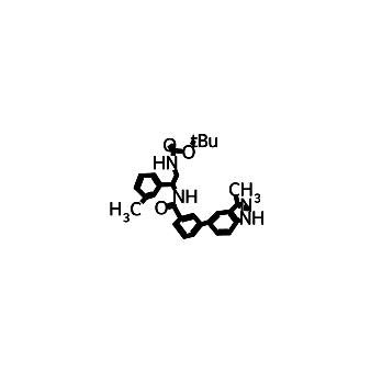 Cc1cccc(C(CNC(=O)OC(C)(C)C)NC(=O)c2cccc(-c3ccc4[nH]nc(C)c4c3)c2)c1